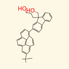 CC(C)(C)c1cc2ccc3ccc(-c4ccc5c(c4)C(CO)(CCCO)c4ccccc4-5)c4ccc(c1)c2c34